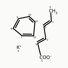 C/C=C/C=C/C(=O)[O-].[K+].c1ccccc1